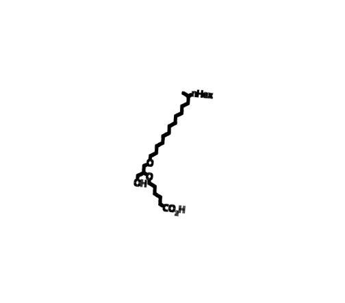 CCCCCCC(C)CCCCCCCCCCCCOCC(CO)OCCCCCC(=O)O